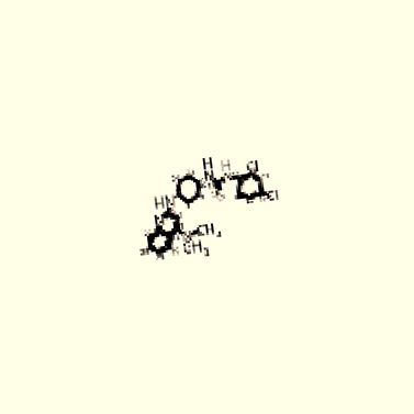 CN(C)c1cc(N[C@H]2CC[C@@H](NC(=S)Nc3ccc(Cl)cc3Cl)CC2)nc2ccccc12